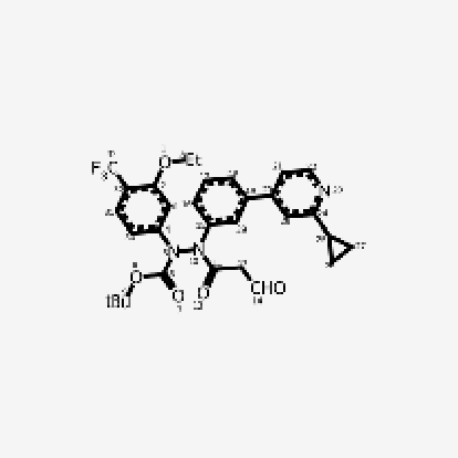 CCOc1cc(N(C(=O)OC(C)(C)C)N(C(=O)CC=O)c2cccc(-c3ccnc(C4CC4)c3)c2)ccc1C(F)(F)F